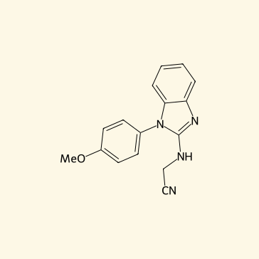 COc1ccc(-n2c(NCC#N)nc3ccccc32)cc1